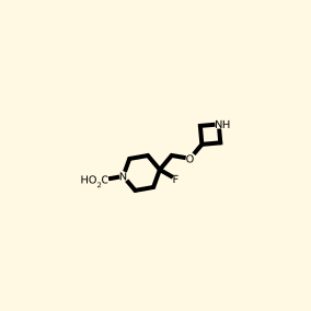 O=C(O)N1CCC(F)(COC2CNC2)CC1